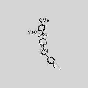 COc1ccc(S(=O)(=O)C2CCN(c3nc(-c4ccc(C)cc4)cs3)CC2)c(OC)c1